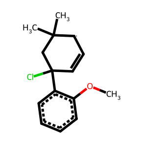 COc1ccccc1C1(Cl)C=C[CH]C(C)(C)C1